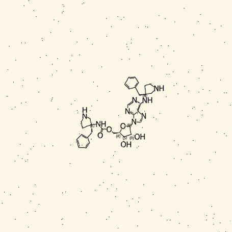 O=C(N[C@]1(Cc2ccccc2)CCNC1)OC[C@H]1O[C@@H](n2cnc3c(N[C@]4(Cc5ccccc5)CCNC4)ncnc32)[C@H](O)[C@@H]1O